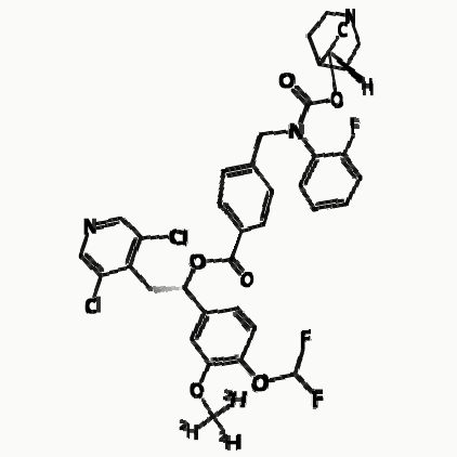 [2H]C([2H])([2H])Oc1cc([C@H](Cc2c(Cl)cncc2Cl)OC(=O)c2ccc(CN(C(=O)O[C@H]3CN4CCC3CC4)c3ccccc3F)cc2)ccc1OC(F)F